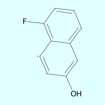 Oc1c[c]c2c(F)cccc2c1